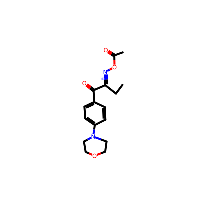 CC/C(=N\OC(C)=O)C(=O)c1ccc(N2CCOCC2)cc1